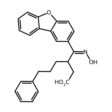 O=C(O)CC(CCCc1ccccc1)C(=NO)c1ccc2oc3ccccc3c2c1